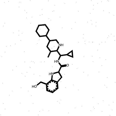 CC1CC(C2CCCCC2)CNC1C(NC(=O)C1Cc2cccc(CO)c2N1)C1CC1